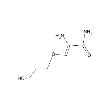 NC(=O)C(N)=COCCCO